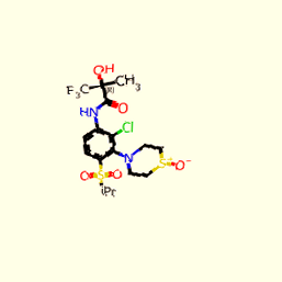 CC(C)S(=O)(=O)c1ccc(NC(=O)[C@@](C)(O)C(F)(F)F)c(Cl)c1N1CC[S+]([O-])CC1